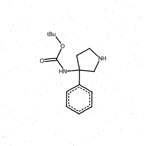 CC(C)(C)OC(=O)NC1(c2ccccc2)CCNC1